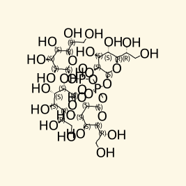 O=P(O[C@@H]1O[C@H]([C@H](O)CO)[C@@H](O)[C@H](O)[C@@H]1O)(O[C@@H]1O[C@H]([C@H](O)CO)[C@@H](O)[C@H](O)[C@@H]1O)OP(=O)(O[C@@H]1O[C@H]([C@H](O)CO)[C@@H](O)[C@H](O)[C@@H]1O)O[C@@H]1O[C@H]([C@H](O)CO)[C@@H](O)[C@H](O)[C@@H]1O